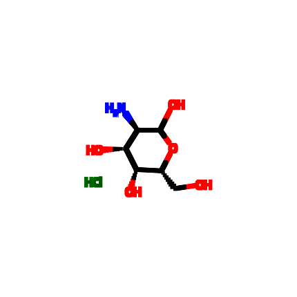 Cl.N[C@H]1C(O)O[C@H](CO)[C@H](O)[C@@H]1O